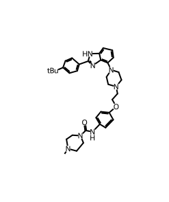 CN1CCN(C(=O)Nc2ccc(OCCN3CCN(c4cccc5[nH]c(-c6ccc(C(C)(C)C)cc6)nc45)CC3)cc2)CC1